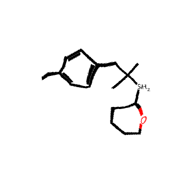 Cc1ccc(CC(C)(C)[SiH2]C2CCCCO2)cc1